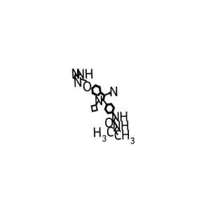 CC(C)NC(=O)Nc1ccc(-c2c(C#N)c3ccc(OCc4ncn[nH]4)cc3n2C2CCC2)cc1